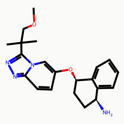 COCC(C)(C)c1nnc2ccc(O[C@@H]3CC[C@H](N)c4ccccc43)cn12